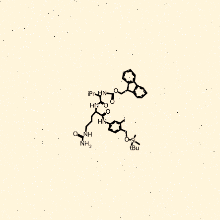 CC(C)C(NC(=O)OCC1c2ccccc2-c2ccccc21)C(=O)NC(CCCNC(N)=O)C(=O)Nc1ccc(CO[Si](C)(C)C(C)(C)C)c(I)c1